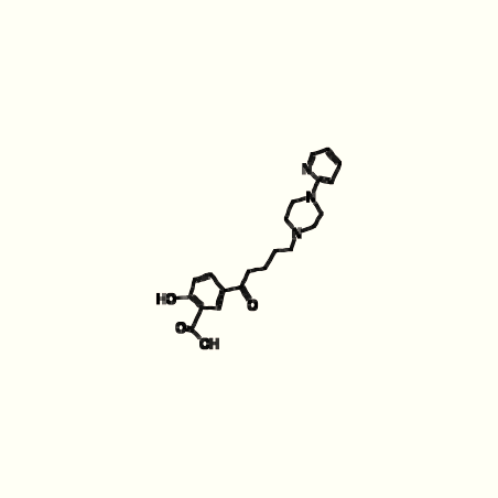 O=C(CCCCN1CCN(c2ccccn2)CC1)c1ccc(O)c(C(=O)O)c1